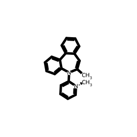 CC1=Cc2ccccc2-c2ccccc2N1c1cccc[n+]1C